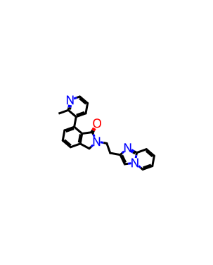 Cc1ncccc1-c1cccc2c1C(=O)N(CCc1cn3ccccc3n1)C2